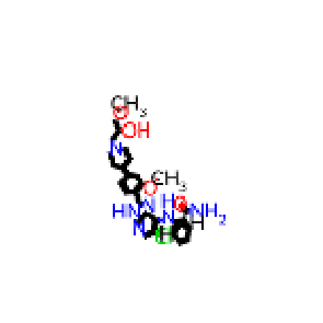 COCC(O)CN1CCC(c2ccc(-c3nc4c(N[C@H]5[C@@H](C(N)=O)[C@@H]6C=C[C@H]5C6)c(Cl)cnc4[nH]3)c(OC)c2)CC1